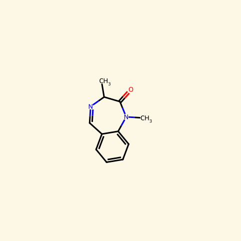 CC1N=Cc2ccccc2N(C)C1=O